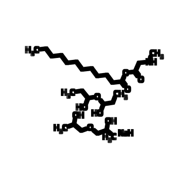 CC(O)COCC(C)O.CCC(O)OC(O)CC.CCCCCCCCCCCC(=O)OC(=O)CNC.[NaH]